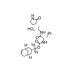 [2H]C([2H])(OC(=O)N[C@@H](CC(C)C)C(=O)N[C@H](CO)C[C@@H]1CCNC1=O)[C@@H]1C[C@@H]2C=CC[C@@H](C2)C1